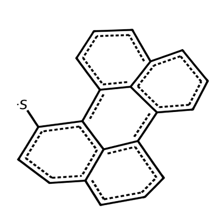 [S]c1ccc2cccc3c4cccc5cccc(c1c23)c54